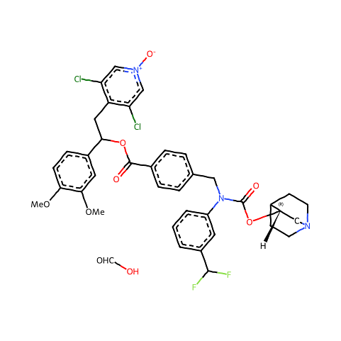 COc1ccc(C(Cc2c(Cl)c[n+]([O-])cc2Cl)OC(=O)c2ccc(CN(C(=O)O[C@H]3CN4CCC3CC4)c3cccc(C(F)F)c3)cc2)cc1OC.O=CO